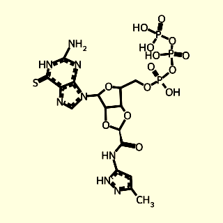 Cc1cc(NC(=O)[C@@H]2OC3C(COP(=O)(O)OP(=O)(O)OP(=O)(O)O)OC(n4cnc5c(=S)[nH]c(N)nc54)C3O2)[nH]n1